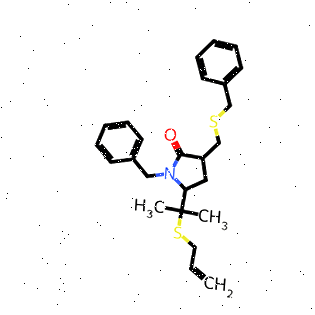 C=CCSC(C)(C)C1CC(CSCc2ccccc2)C(=O)N1Cc1ccccc1